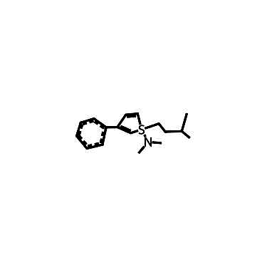 CC(C)CCS1(N(C)C)C=CC(c2ccccc2)=C1